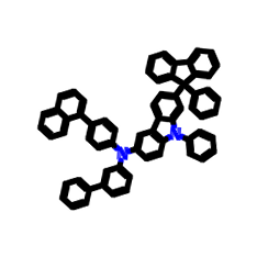 c1ccc(-c2cccc(N(c3ccc(-c4cccc5ccccc45)cc3)c3ccc4c(c3)c3ccc(C5(c6ccccc6)c6ccccc6-c6ccccc65)cc3n4-c3ccccc3)c2)cc1